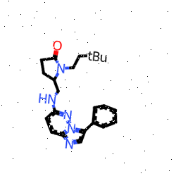 CC(C)(C)CCN1C(=O)CCC1CNc1ccc2ncc(-c3ccccc3)n2n1